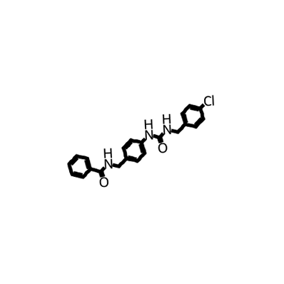 O=C(NCc1ccc(Cl)cc1)Nc1ccc(CNC(=O)c2ccccc2)cc1